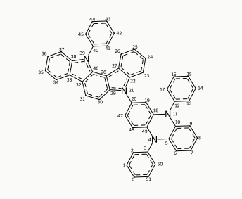 c1ccc(N2c3ccccc3N(c3ccccc3)c3cc(-n4c5ccccc5c5c4ccc4c6ccccc6n(-c6ccccc6)c45)ccc32)cc1